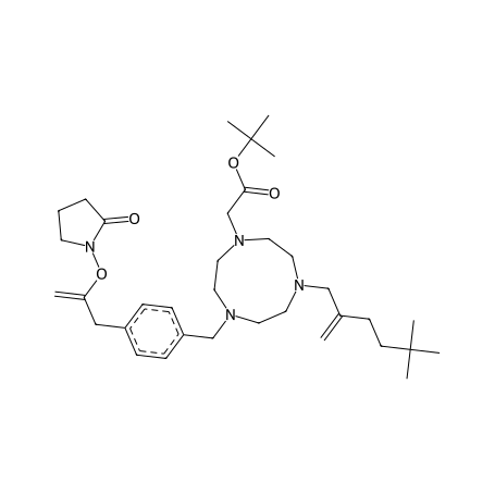 C=C(CCC(C)(C)C)CN1CCN(CC(=O)OC(C)(C)C)CCN(Cc2ccc(CC(=C)ON3CCCC3=O)cc2)CC1